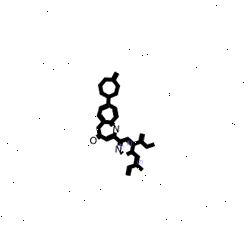 C=C/C(C)=C\C(C)/C(=C\C(=N/C)C1=CC(=O)CC2=CC=C(C3CCCC(=C)CC3)C=CC2=N1)C(=C)CC